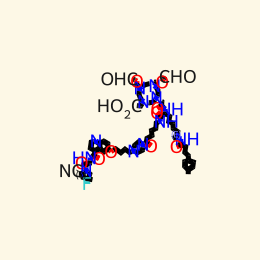 C/C(=C\CCCCC(NC(=O)CN1CCN(COC=O)CCN(COC=O)CCN(CC(=O)O)CC1)C(=O)NCCCCCC(=O)N1CCN(CCCCOc2ccc3nccc(C(=O)NCC(=O)N4CC(C)(F)C[C@@H]4C#N)c3c2)CC1)NC(=O)CCCc1ccc(C)cc1